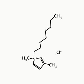 CCCCCCCC[N+]1(C)C=CC(C)=C1.[Cl-]